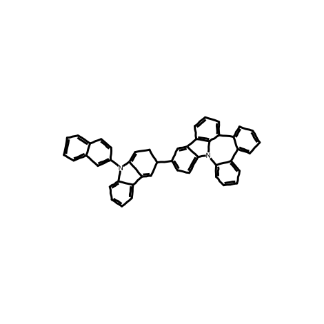 C1=c2c(n(-c3ccc4ccccc4c3)c3ccccc23)=CCC1c1ccc2c(c1)c1cccc3c1n2-c1ccccc1-c1ccccc1-3